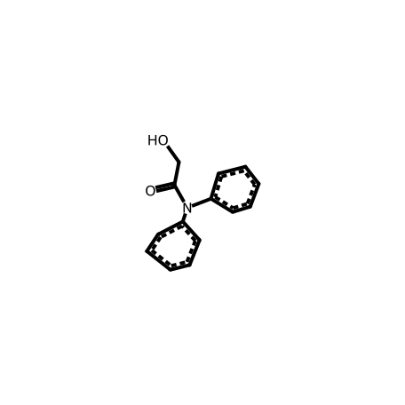 O=C(CO)N(c1ccccc1)c1ccccc1